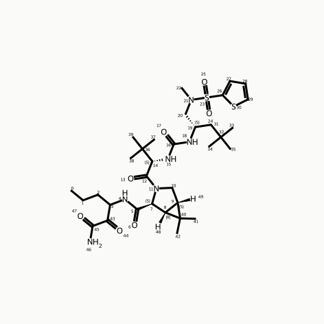 CCCC(NC(=O)[C@@H]1[C@@H]2[C@H](CN1C(=O)[C@@H](NC(=O)N[C@H](CN(C)S(=O)(=O)c1cccs1)CC(C)(C)C)C(C)(C)C)C2(C)C)C(=O)C(N)=O